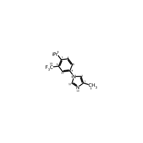 Cc1cn(-c2ccc(C(C)C)c(C(F)(F)F)c2)cn1